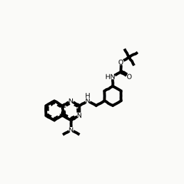 CN(C)c1nc(NCC2CCCC(NC(=O)OC(C)(C)C)C2)nc2ccccc12